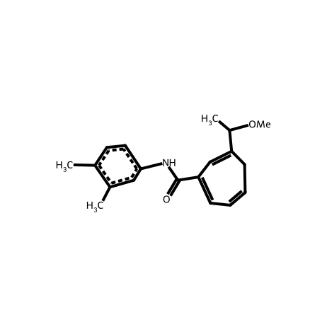 COC(C)C1=CC(C(=O)Nc2ccc(C)c(C)c2)=CC=CC1